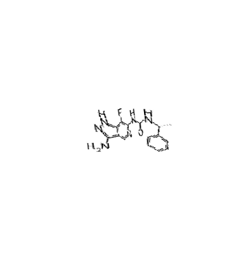 C[C@@H](NC(=O)Nc1ncc2c(N)n[nH]c2c1F)c1ccccc1